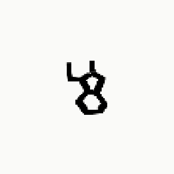 CCc1c2ccccc2cn1C